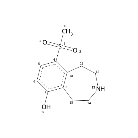 CS(=O)(=O)c1ccc(O)c2c1CCNCC2